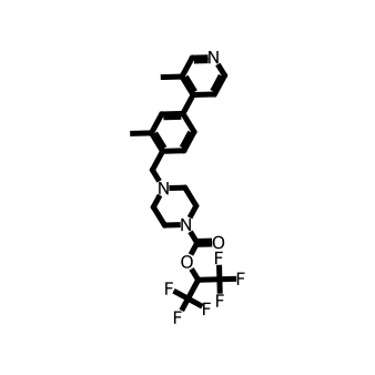 Cc1cc(-c2ccncc2C)ccc1CN1CCN(C(=O)OC(C(F)(F)F)C(F)(F)F)CC1